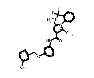 Cc1cccc(COc2cccc(NC(=O)c3cc(C)n(-c4ccccc4C(F)(F)F)c3C)c2)c1